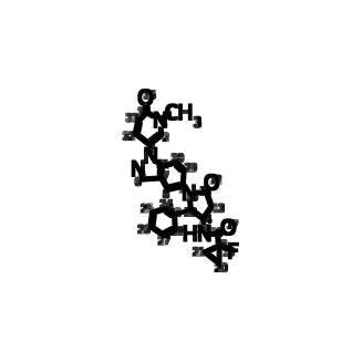 Cn1cc(-n2ncc3cc(N4C(=O)C[C@H](NC(=O)C5(F)CC5)[C@H]4c4ccccc4)ccc32)ccc1=O